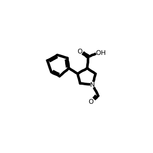 O=CN1CC(C(=O)O)C(c2ccccc2)C1